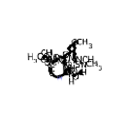 COc1ccc2c(OC3C[C@H]4C(=O)N[C@]5(C(=O)NS(=O)(=O)C6CC6)CC5/C=C\CCCSC[C@H](NC(=O)OC(C)(C)C)C(=O)N4C3)nc(-c3csc(NC(C)C)n3)cc2c1